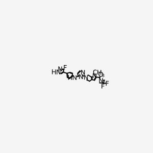 Cn1c(C(=O)N2CC(F)(F)C2)cc2c1CN(c1nccc(Nc3ccc(-c4c[nH]nc4F)cc3)n1)CC2